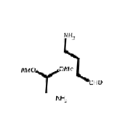 COC(C)OC.N.NCCCC=O